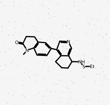 CCSNC1CCCc2c(-c3ccc4c(c3)CCC(=O)N4C)cncc21